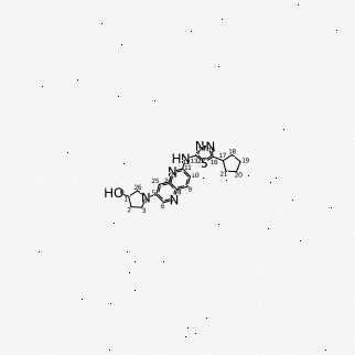 OC1CCN(c2cnc3ccc(Nc4nnc(C5CCCC5)s4)nc3c2)C1